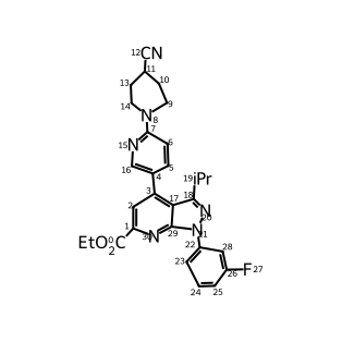 CCOC(=O)c1cc(-c2ccc(N3CCC(C#N)CC3)nc2)c2c(C(C)C)nn(-c3cccc(F)c3)c2n1